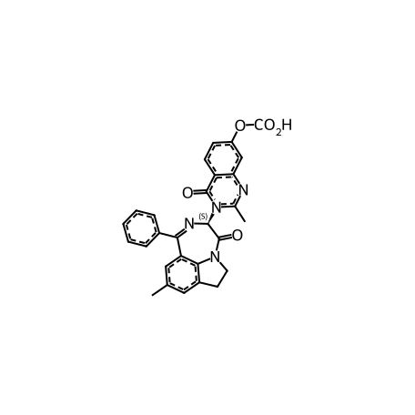 Cc1cc2c3c(c1)C(c1ccccc1)=N[C@@H](n1c(C)nc4cc(OC(=O)O)ccc4c1=O)C(=O)N3CC2